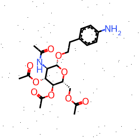 CC(=O)N[C@H]1[C@H](OCCc2ccc(N)cc2)O[C@H](COC(C)=O)[C@@H](OC(C)=O)[C@@H]1OC(C)=O